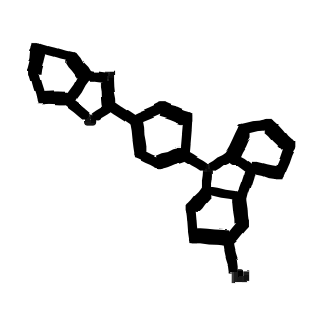 CCC(C)c1ccc2c(c1)c1ccccc1n2-c1ccc(-c2nc3ccccc3o2)cc1